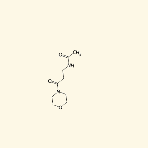 CC(=O)NCCC(=O)N1CCOCC1